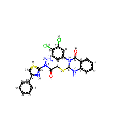 NN(C(=O)CSC1Nc2ccccc2C(=O)N1c1ccc(Cl)c(Cl)c1)c1nc(-c2ccccc2)cs1